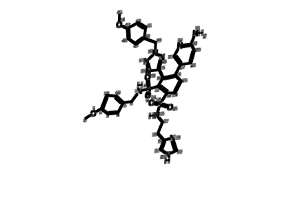 COc1ccc(CNS(=O)(=O)c2c(S(=O)(=O)NCCc3c[nH]cn3)ccc(-c3ccc(N)nc3)c2-c2nnn(Cc3ccc(OC)cc3)n2)cc1